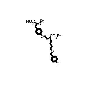 CCOC(=O)N(CCCCOCc1ccc(F)cc1)CCOc1ccc(CC(OCC)C(=O)O)cc1